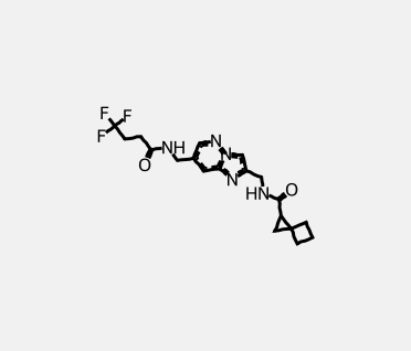 O=C(CCC(F)(F)F)NCc1cnn2cc(CNC(=O)C3CC34CCC4)nc2c1